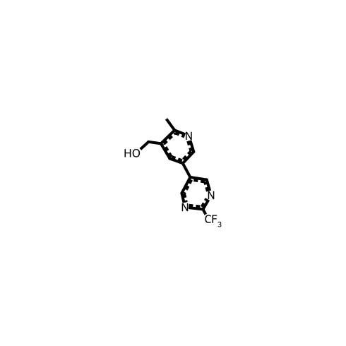 Cc1ncc(-c2cnc(C(F)(F)F)nc2)cc1CO